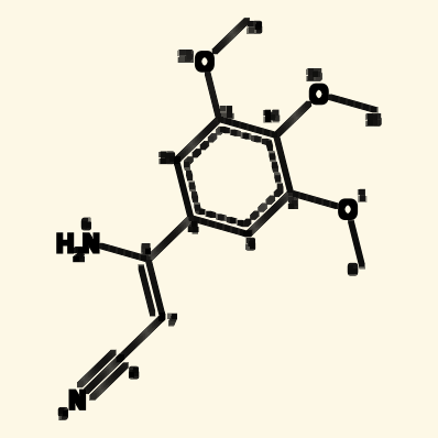 COc1cc(/C(N)=C/C#N)cc(OC)c1OC